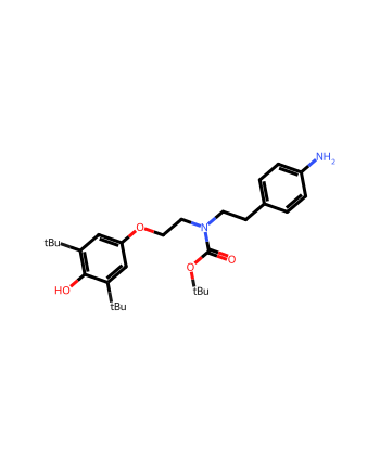 CC(C)(C)OC(=O)N(CCOc1cc(C(C)(C)C)c(O)c(C(C)(C)C)c1)CCc1ccc(N)cc1